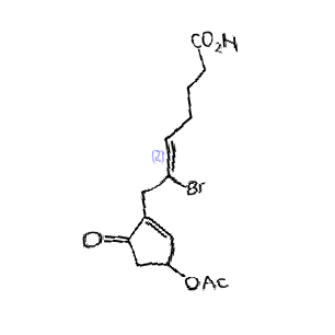 CC(=O)OC1C=C(C/C(Br)=C/CCCC(=O)O)C(=O)C1